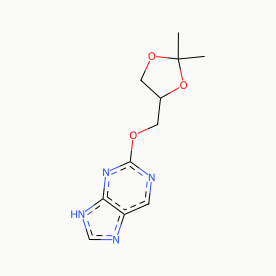 CC1(C)OCC(COc2ncc3nc[nH]c3n2)O1